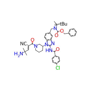 C[C@H](N(Cc1ccc2c(c1)nc(NC(=O)c1ccc(Cl)cc1)n2C1CCCN(C(=O)C(C#N)=CC(C)(C)N)C1)C(=O)OCc1ccccc1)C(C)(C)C